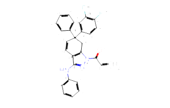 C=CC(=O)n1nc(Nc2ccccc2)c2c1CC(c1ccccc1)(c1ccc(F)c(F)c1)C=C2